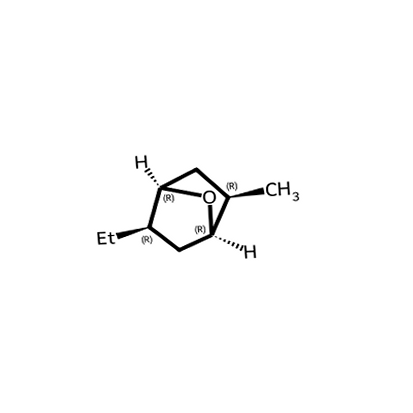 CC[C@@H]1C[C@H]2O[C@@H]1C[C@H]2C